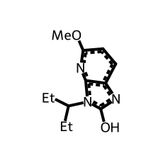 CCC(CC)n1c(O)nc2ccc(OC)nc21